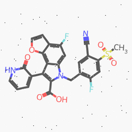 CS(=O)(=O)c1cc(F)c(Cn2c(C(=O)O)c(-c3ccc[nH]c3=O)c3c4occc4c(F)cc32)cc1C#N